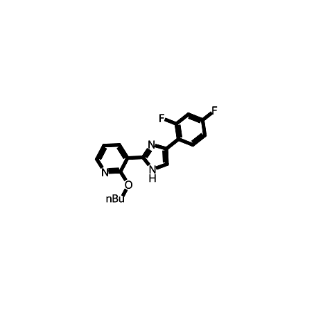 CCCCOc1ncccc1-c1nc(-c2ccc(F)cc2F)c[nH]1